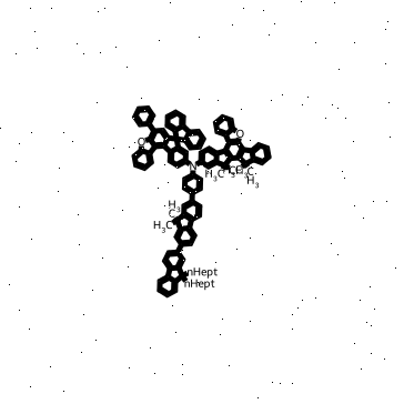 CCCCCCCC1(CCCCCCC)c2ccccc2-c2ccc(-c3ccc4c(c3)C(C)(C)c3cc(-c5ccc(N(c6ccc7c(c6)C(C)(C)c6c8c(c9oc%10ccccc%10c9c6-7)-c6ccccc6C8(C)C)c6ccc7c(c6)C6(c8ccccc8-c8ccccc86)c6cc(-c8ccccc8)c8oc9ccccc9c8c6-7)cc5)ccc3-4)cc21